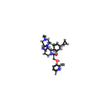 CCc1nc(C)ccc1OCC(=O)N1CCc2nc3n(c2C1c1ccc(C2CC2)cc1F)CCN(C(C)=O)C3